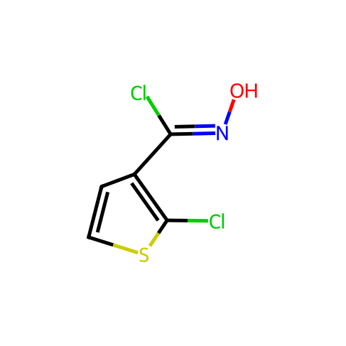 ON=C(Cl)c1ccsc1Cl